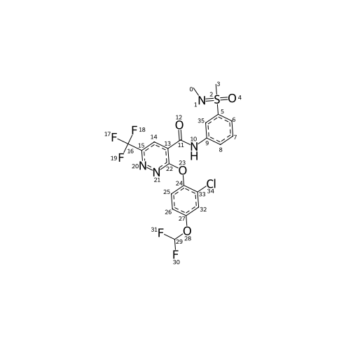 CN=S(C)(=O)c1cccc(NC(=O)c2cc(C(F)(F)F)nnc2Oc2ccc(OC(F)F)cc2Cl)c1